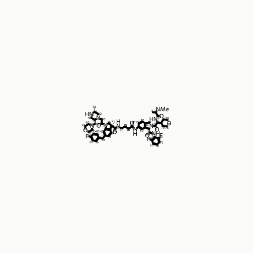 CN[C@@H](C)C(=O)N[C@H](C(=O)N1Cc2ccc(NC(=O)CCCNC(=O)[C@]3(C)CN(C(=O)CN4C[C@@H](C)NC[C@@H]4CN4CCOC[C@H]4C)c4cc(Cc5ccc(F)cc5)ccc43)cc2[C@H]1C(=O)Nc1c(F)cccc1F)C1CCOCC1